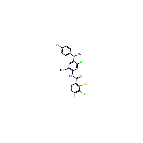 Cc1cc(C(C#N)c2ccc(Cl)cc2)c(Cl)cc1NC(=O)c1ccc(F)c(Cl)c1S